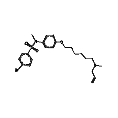 C=CCN(C)CCCCCCOc1ccc(N(C)S(=O)(=O)c2ccc(Br)cc2)cc1